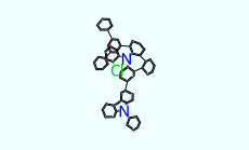 Clc1ccccc1N1c2ccc(-c3ccc4c(c3)c3ccccc3n4-c3ccccc3)cc2-c2ccccc2-c2cccc(-c3cc(-c4ccccc4)cc(-c4ccccc4)c3)c21